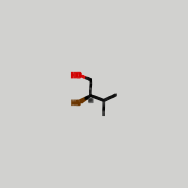 CC(C)[C@@H](S)CO